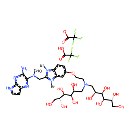 CCn1c(CN(C=O)c2nc3cc[nH]c3nc2N)[n+](CC)c2cc(OCCN(C[C@H](O)[C@@H](O)[C@H](O)[C@H](O)CO)C[C@H](O)[C@@H](O)[C@H](O)[C@H](O)CO)ccc21.O=C(O)C(F)(F)F.O=C([O-])C(F)(F)F